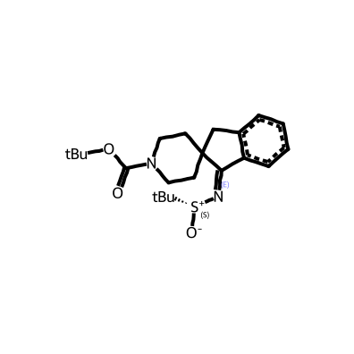 CC(C)(C)OC(=O)N1CCC2(CC1)Cc1ccccc1/C2=N/[S@+]([O-])C(C)(C)C